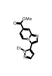 CCn1nccc1-c1cnc2cc(C(=O)OC)ccn12